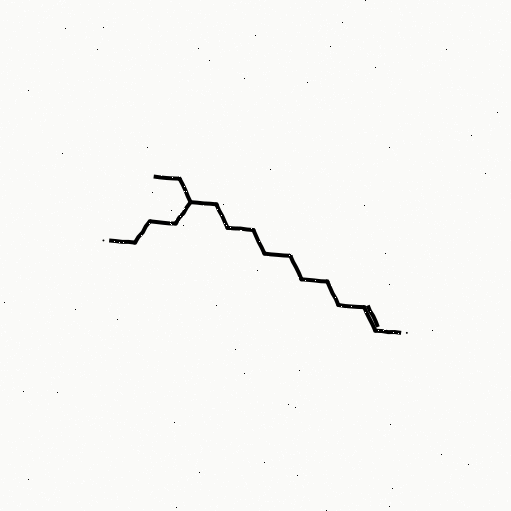 [CH2]C=CCCCCCCCCC(CC)CCC[CH2]